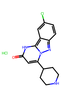 Cl.O=c1cc(C2CCNCC2)n2nc3ccc(Cl)cc3c2[nH]1